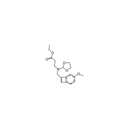 CCOC(=O)CCN(CC1=Cc2ccc(OC)cc21)C1OCCO1